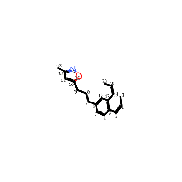 C/C=C\c1ccc(CCCc2cc(C)no2)cc1/C=C\C